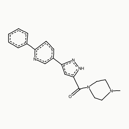 CN1CCN(C(=O)c2cc(-c3ccc(-c4ccccc4)nc3)n[nH]2)CC1